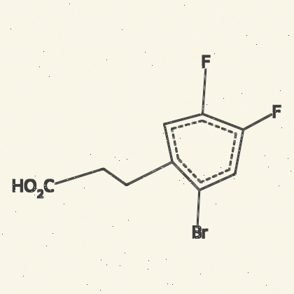 O=C(O)CCc1cc(F)c(F)cc1Br